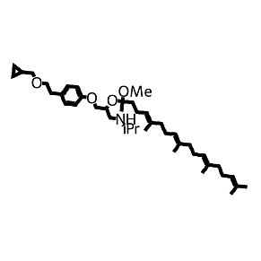 COC(C)(CC/C=C(\C)CC/C=C(\C)CC/C=C(\C)CCC=C(C)C)OC(CNC(C)C)COc1ccc(CCOCC2CC2)cc1